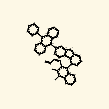 C=C/C=C\c1c(C)c(C)c2ccccc2c1-c1cccc2sc3cc(-c4c5ccccc5c(-c5ccccc5)c5ccccc45)ccc3c12